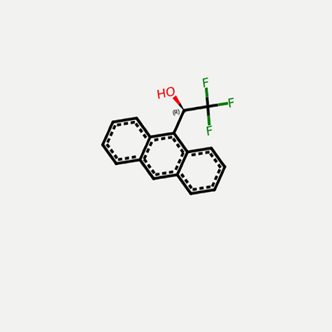 O[C@H](c1c2ccccc2cc2ccccc12)C(F)(F)F